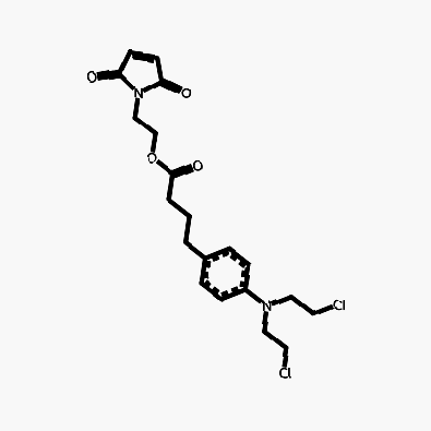 O=C(CCCc1ccc(N(CCCl)CCCl)cc1)OCCN1C(=O)C=CC1=O